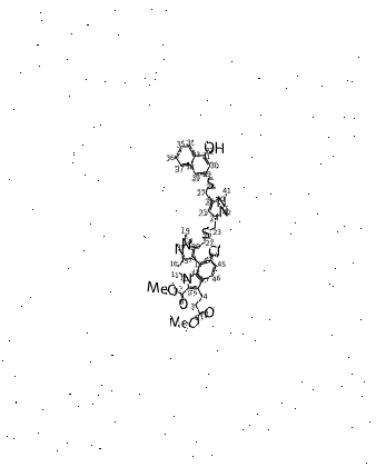 COC(=O)CCc1c(C(=O)OC)n(C)c2c(-c3c(C)nn(C)c3CSCc3cc(CSc4cc(O)c5ccccc5c4)n(C)n3)c(Cl)ccc12